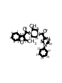 Cc1oc2ccccc2c1C(=O)N1CCN(C(=O)c2ncn(-c3ccccc3)n2)CC1C